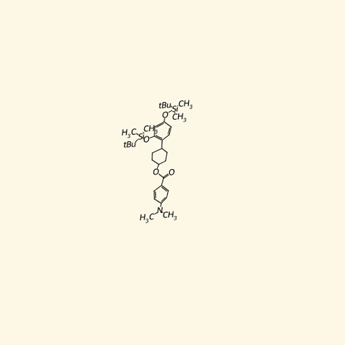 CN(C)c1ccc(C(=O)OC2CCC(c3ccc(O[Si](C)(C)C(C)(C)C)cc3O[Si](C)(C)C(C)(C)C)CC2)cc1